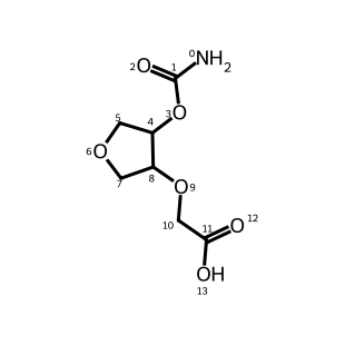 NC(=O)OC1COCC1OCC(=O)O